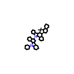 CC1(C)c2c(ccc3ccccc23)-c2c1c1c3ccccc3n(-c3cc4c5ccccc5n(-c5ccccc5)c4c4ccccc34)c1c1ccccc21